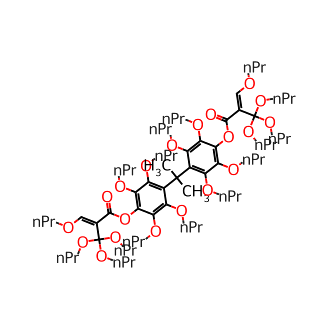 CCCOC=C(C(=O)Oc1c(OCCC)c(OCCC)c(C(C)(C)c2c(OCCC)c(OCCC)c(OC(=O)C(=COCCC)C(OCCC)(OCCC)OCCC)c(OCCC)c2OCCC)c(OCCC)c1OCCC)C(OCCC)(OCCC)OCCC